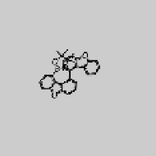 CC1(C)OB(c2cccc3oc4cccc(-c5cccc6oc7ccccc7c56)c4c23)OC1(C)C